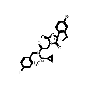 C[C@@H](C1CC1)N(Cc1ccc(F)cc1)C(=O)CN1C(=O)O[C@]2(CCc3cc(Br)ccc32)C1=O